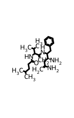 C=C(N)C[C@H](N)C(Cc1ccccc1)NC(=C)C(NC(=O)CCC(C)C)C(C)C